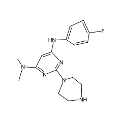 CN(C)c1cc(Nc2ccc(F)cc2)nc(N2CCNCC2)n1